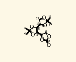 CC1(C)O[C@H]([C@H]2COC(=O)O2)[C@@H]([C@H]2COC(C)(C)O2)O1